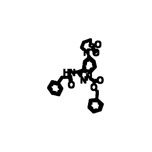 O=C(Cc1ccccc1)Nc1nn(C(=O)OCc2ccccc2)c2ccc(N3CCCS3(=O)=O)cc12